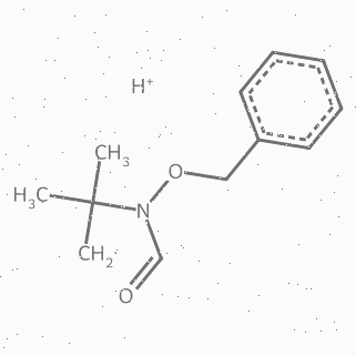 [CH2]C(C)(C)N(C=O)OCc1ccccc1.[H+]